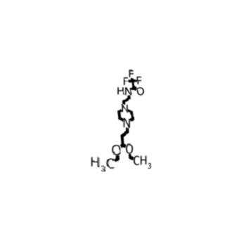 CCOC(CCN1CCN(CCNC(=O)C(F)(F)F)CC1)OCC